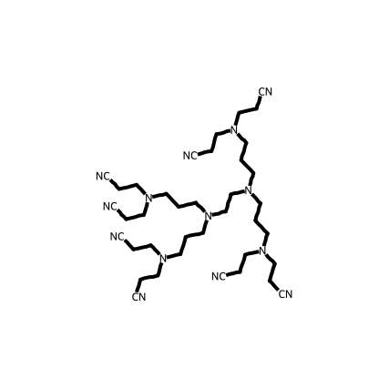 N#CCCN(CCC#N)CCCN(CCCN(CCC#N)CCC#N)CCN(CCCN(CCC#N)CCC#N)CCCN(CCC#N)CCC#N